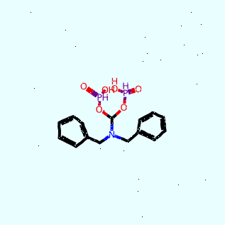 O=[PH](O)OC(O[PH](=O)O)N(Cc1ccccc1)Cc1ccccc1